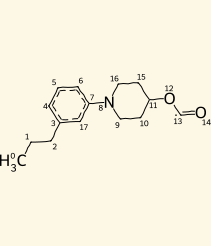 CCCc1cccc(N2CCC(O[C]=O)CC2)c1